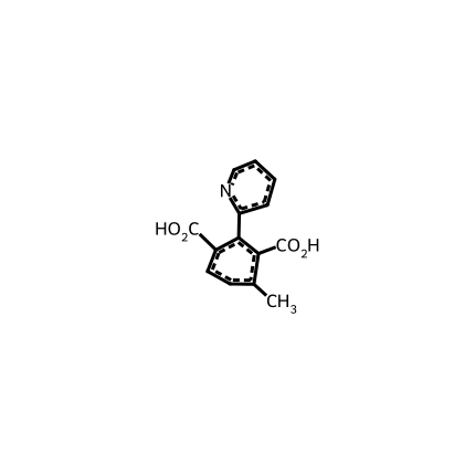 Cc1ccc(C(=O)O)c(-c2ccccn2)c1C(=O)O